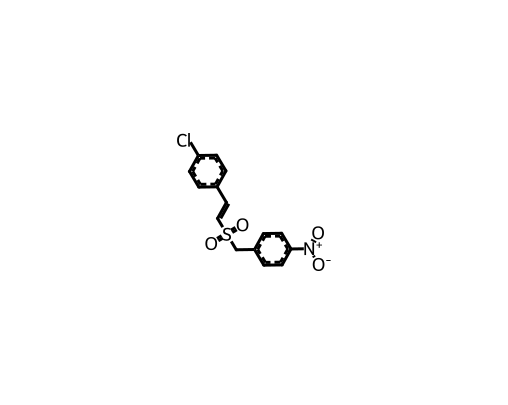 O=[N+]([O-])c1ccc(CS(=O)(=O)C=Cc2ccc(Cl)cc2)cc1